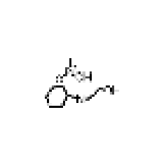 O=[PH2]O.OC[CH2][Ni][CH]1CCCCC1